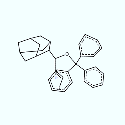 [Li]/[CH]=C/C(OC(c1ccccc1)(c1ccccc1)c1ccccc1)C1C2CC3CC(C2)CC1C3